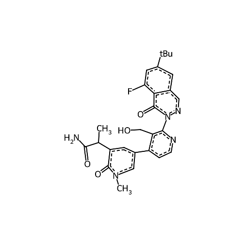 CC(C(N)=O)c1cc(-c2ccnc(-n3ncc4cc(C(C)(C)C)cc(F)c4c3=O)c2CO)cn(C)c1=O